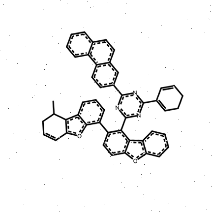 CC1CC=Cc2oc3c(-c4ccc5oc6ccccc6c5c4-c4nc(C5=CCCC=C5)nc(-c5ccc6c(ccc7ccccc76)c5)n4)cccc3c21